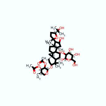 CC(=O)OC1[C@H](OC2CC[C@]34C[C@]35CC[C@]3(C)C(C6(C)CC[C@@H](C(C)(C)O)O6)C(O)C[C@@]3(C)C5C[C@H](O[C@@H]3OC(CO)[C@@H](O)[C@@H](O)C3O)C4C2(C)C)OC[C@@H](C)[C@H]1OC(C)=O